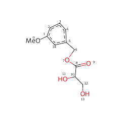 COc1cccc(COC(=O)C(O)CO)c1